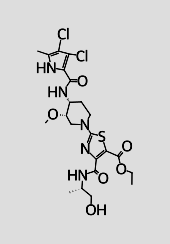 CCOC(=O)c1sc(N2CC[C@@H](NC(=O)c3[nH]c(C)c(Cl)c3Cl)[C@@H](OC)C2)nc1C(=O)N[C@@H](C)CO